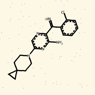 N=C(c1ccccc1Cl)c1ncc(N2CCC3(CC2)CC3)nc1N